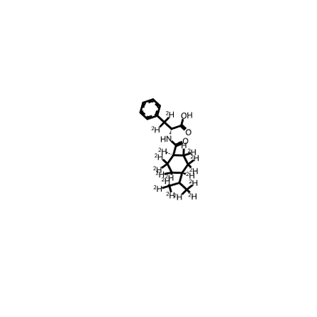 [2H]C([2H])([2H])C(C([2H])([2H])[2H])[C@]1([2H])C([2H])([2H])C([2H])([2H])[C@@]([2H])(C(=O)N[C@@H](C(=O)O)C([2H])([2H])c2ccccc2)C([2H])([2H])C1([2H])[2H]